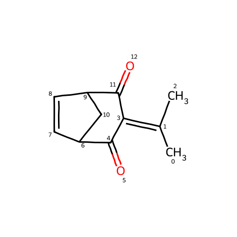 CC(C)=C1C(=O)C2C=CC(C2)C1=O